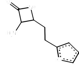 NC1C(=O)NC1CCc1ccco1